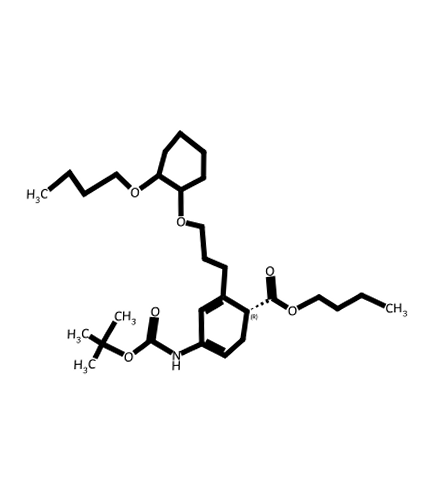 CCCCOC(=O)[C@@H]1CC=C(NC(=O)OC(C)(C)C)C=C1CCCOC1CCCCC1OCCCC